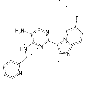 Nc1cnc(-c2cnc3ccc(F)cn23)nc1NCc1ccccn1